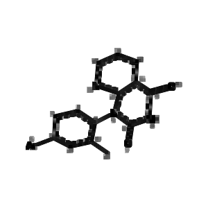 CC(=O)c1ccc(-n2c(=O)[nH]c(=O)c3cccnc32)c(C)c1